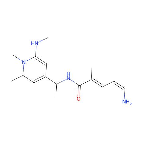 CNC1=CC(C(C)NC(=O)/C(C)=C/C=C\N)=CC(C)N1C